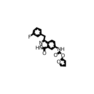 O=C(Nc1ccc2c(Cc3cccc(F)c3)n[nH]c(=O)c2c1)Oc1ccco1